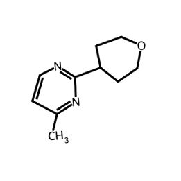 Cc1ccnc(C2CCOCC2)n1